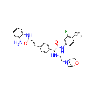 Nc1ccccc1NC(=O)/C=C/c1ccc(C(NCCN2CC3CC2CO3)C(=O)Nc2ccc(C(F)(F)F)c(F)c2)cc1